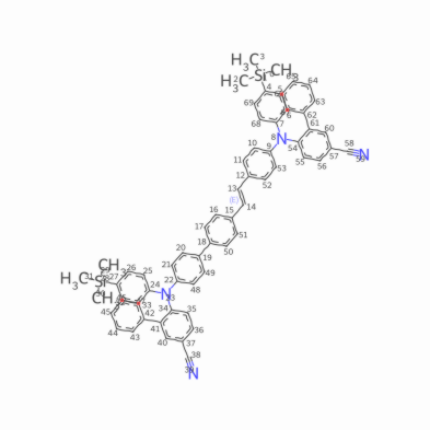 C[Si](C)(C)c1ccc(N(c2ccc(/C=C/c3ccc(-c4ccc(N(c5ccc([Si](C)(C)C)cc5)c5ccc(C#N)cc5-c5ccccc5)cc4)cc3)cc2)c2ccc(C#N)cc2-c2ccccc2)cc1